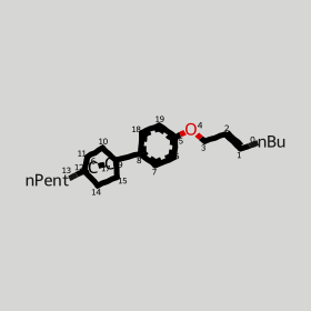 CCCCC=CCOc1ccc(C23CCC(CCCCC)(CC2)CC3)cc1